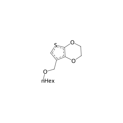 CCCCCCOCc1csc2c1OCCO2